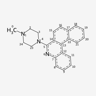 CN1CCN(c2nc3ccccc3c3c2ccc2ccccc23)CC1